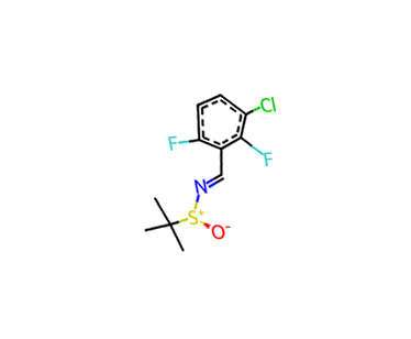 CC(C)(C)[S@+]([O-])N=Cc1c(F)ccc(Cl)c1F